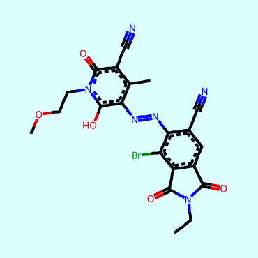 CCN1C(=O)c2cc(C#N)c(/N=N/c3c(C)c(C#N)c(=O)n(CCOC)c3O)c(Br)c2C1=O